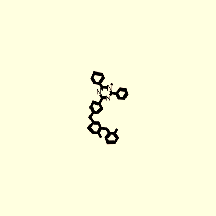 Cc1ccccc1Cc1cc(Cc2ccc(C3=NC(c4ccccc4)N(C)C(c4ccccc4)=N3)cc2)ccc1C